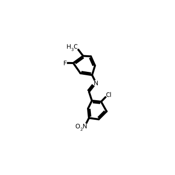 Cc1ccc(N=Cc2cc([N+](=O)[O-])ccc2Cl)cc1F